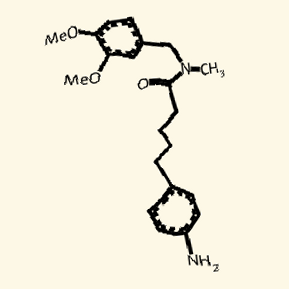 COc1ccc(CN(C)C(=O)CCCCc2ccc(N)cc2)cc1OC